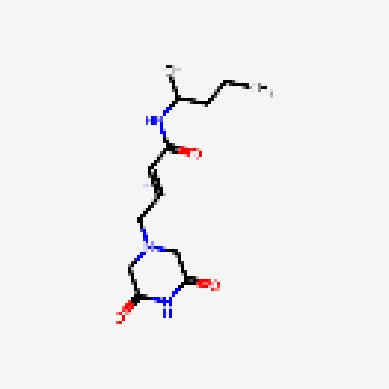 CCCC(C)NC(=O)/C=C/CN1CC(=O)NC(=O)C1